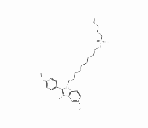 CCCCCS(=O)(=O)CCCCCCCCCCn1c(-c2ccc(OC)cc2)c(C)c2cc(OC)ccc21